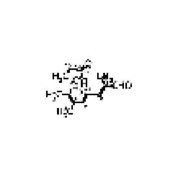 CC.CC=C(C)C=CC=C(C)C=O.CCC=O